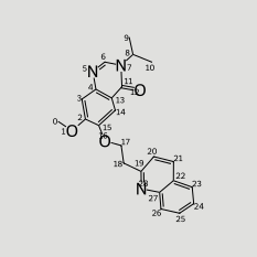 COc1cc2ncn(C(C)C)c(=O)c2cc1OCCc1ccc2ccccc2n1